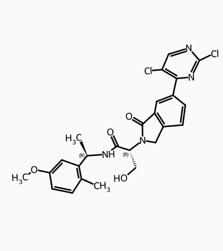 COc1ccc(C)c([C@@H](C)NC(=O)[C@@H](CO)N2Cc3ccc(-c4nc(Cl)ncc4Cl)cc3C2=O)c1